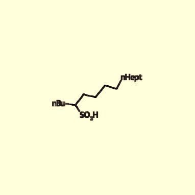 CCCCCCCCCCCC(CCCC)S(=O)(=O)O